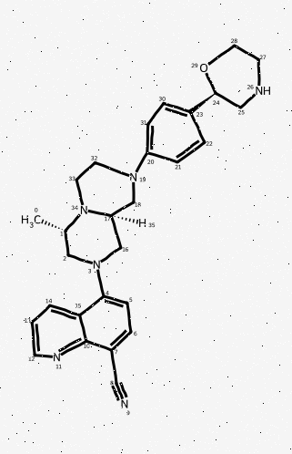 C[C@H]1CN(c2ccc(C#N)c3ncccc23)C[C@@H]2CN(c3ccc([C@@H]4CNCCO4)cc3)CCN21